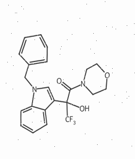 O=C(N1CCOCC1)C(O)(c1cn(Cc2ccccc2)c2ccccc12)C(F)(F)F